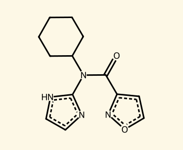 O=C(c1ccon1)N(c1ncc[nH]1)C1CCCCC1